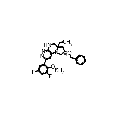 CCC12CNc3nnc(-c4cc(F)cc(F)c4OC)cc3N1C[C@H](OCc1ccccc1)C2